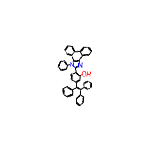 Oc1cc(C(=C(c2ccccc2)c2ccccc2)c2ccccc2)ccc1-c1nc2c3ccccc3c3ccccc3c2n1-c1ccccc1